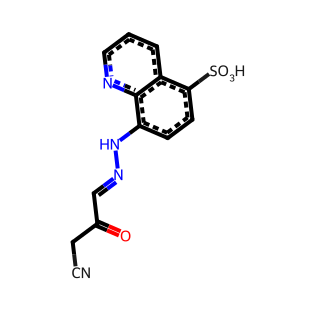 N#CCC(=O)C=NNc1ccc(S(=O)(=O)O)c2cccnc12